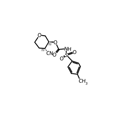 Cc1ccc(S(=O)(=O)NC(=O)O[C@@H]2COCC[C@H]2C#N)cc1